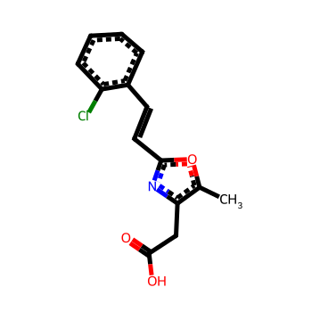 Cc1oc(C=Cc2ccccc2Cl)nc1CC(=O)O